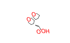 C1CCOCC1.C1CCOCC1.C=CC(=O)O